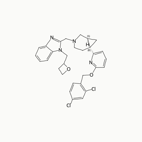 Clc1ccc(COc2cccc([C@]34CCN(Cc5nc6ccccc6n5CC5CCO5)C[C@H]3C4)n2)c(Cl)c1